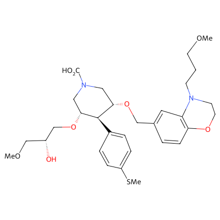 COCCCN1CCOc2ccc(CO[C@H]3CN(C(=O)O)C[C@@H](OC[C@H](O)COC)[C@@H]3c3ccc(SC)cc3)cc21